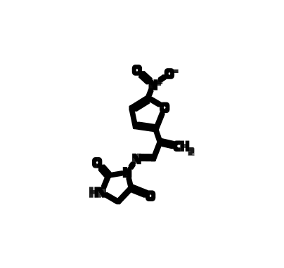 C=C(C=NN1C(=O)CNC1=O)c1ccc([N+](=O)[O-])o1